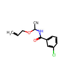 C=CCOC(C#N)NC(=O)c1cccc(Cl)c1